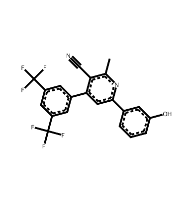 Cc1nc(-c2cccc(O)c2)cc(-c2cc(C(F)(F)F)cc(C(F)(F)F)c2)c1C#N